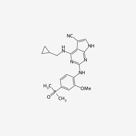 COc1cc(P(C)(C)=O)ccc1Nc1nc(NCC2CC2)c2c(C#N)c[nH]c2n1